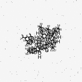 CC(C)c1cc(C(C)C)c(S(=O)(=O)OC[C@H]2O[C@@H](OC3C(O)[C@@H](NC(=O)OC(C)(C)C)CC(NC(=O)OC(C)(C)C)[C@H]3O[C@H]3OC(CNC(=O)OC(C)(C)C)[C@@H](O)C(O)C3NC(=O)OC(C)(C)C)[C@@H](O)C2OC2OC(CNC(=O)OC(C)(C)C)C(O)C(O)C2NC(=O)OC(C)(C)C)c(C(C)C)c1